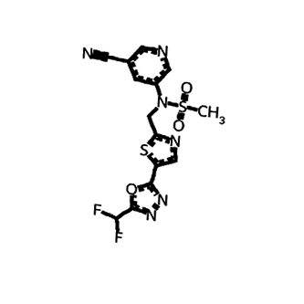 CS(=O)(=O)N(Cc1ncc(-c2nnc(C(F)F)o2)s1)c1cncc(C#N)c1